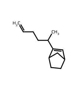 C=CCCC(C)C1=CC2CCC1C2